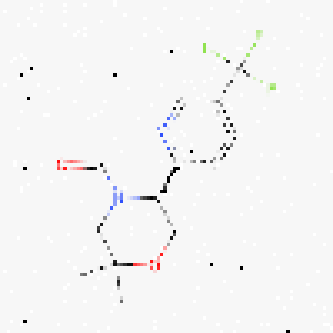 CC1(C)CN(C=O)[C@@H](c2ccc(C(F)(F)F)cn2)CO1